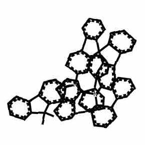 CC1(C)c2ccccc2-c2ccc(N(c3ccc4c(c3)C3(c5ccccc5-4)c4ccccc4-c4ccc(N(c5ccccc5)c5c(-c6ccccc6)cccc5-c5ccccc5)cc43)c3ccccc3-c3ccccc3)cc21